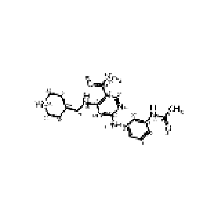 CC(=O)Nc1cccc(Nc2ncc(C(N)=O)c(NCC3CCNCC3)n2)c1